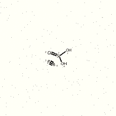 B#P.O=[Si](O)O